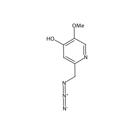 COc1cnc(CN=[N+]=[N-])cc1O